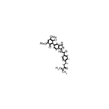 COc1cc(OC)c(Cl)c(-c2ccc3c(NC(=O)c4ccc(CCC(=O)N(C)C)cc4)n[nH]c3c2)c1Cl